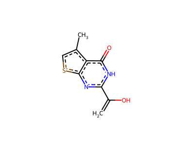 C=C(O)c1nc2scc(C)c2c(=O)[nH]1